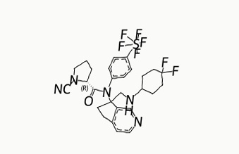 N#CN1CCC[C@@H]1C(=O)N(c1ccc(S(F)(F)(F)(F)F)cc1)C1(CNC2CCC(F)(F)CC2)CCc2ccncc21